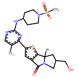 CC(C)C12CC(CO)CN1C(=O)c1cc(-c3nc(NC4CCN(S(C)(=O)=O)CC4)ncc3C(F)(F)F)sc12